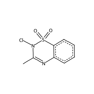 CC1=Nc2ccccc2S(=O)(=O)N1Cl